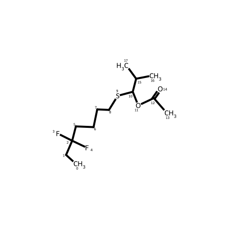 CCC(F)(F)CCCCSC(OC(C)=O)C(C)C